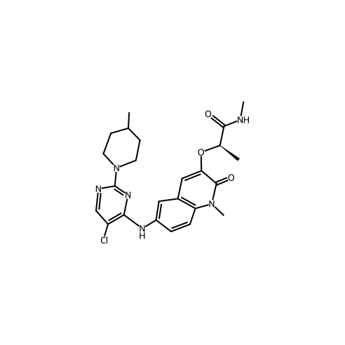 CNC(=O)[C@@H](C)Oc1cc2cc(Nc3nc(N4CCC(C)CC4)ncc3Cl)ccc2n(C)c1=O